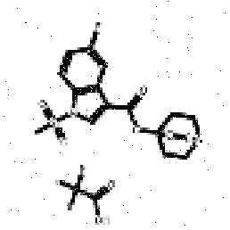 CS(=O)(=O)n1cc(C(=O)OC23CCN(CC2)CC3)c2cc(F)ccc21.O=C(O)C(F)(F)F